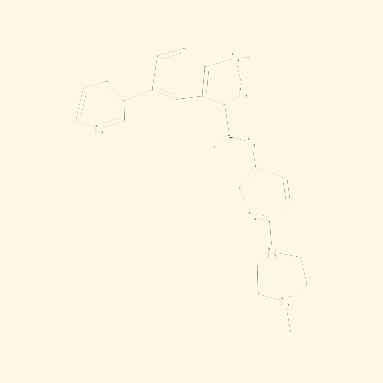 CN1CCN(c2ccc(NC(=O)c3n[nH]c4ccc(-c5cccnc5)cc34)cn2)CC1